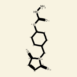 NNC(=O)OC1CCC(CN2C(=O)C=CC2=O)CC1